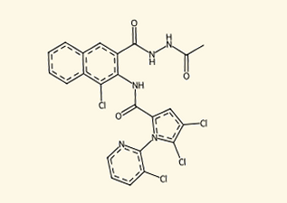 CC(=O)NNC(=O)c1cc2ccccc2c(Cl)c1NC(=O)c1cc(Cl)c(Cl)n1-c1ncccc1Cl